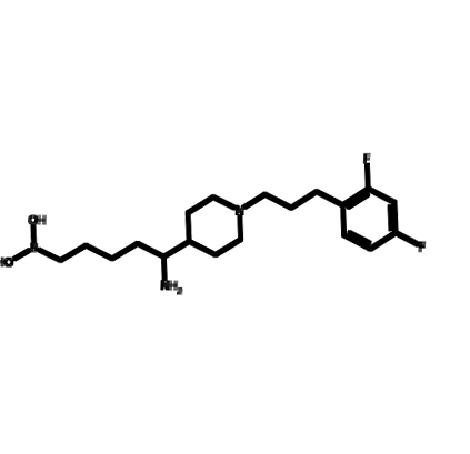 NC(CCCCB(O)O)C1CCN(CCCc2ccc(F)cc2F)CC1